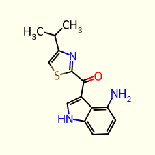 CC(C)c1csc(C(=O)c2c[nH]c3cccc(N)c23)n1